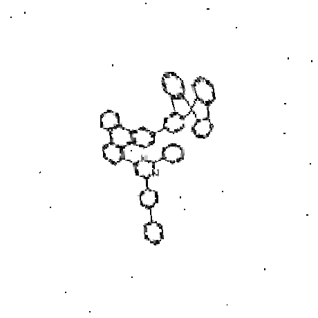 c1ccc(-c2ccc(-c3cc(-c4cccc5c6ccccc6c6cc(-c7ccc8c(c7)-c7ccccc7C87c8ccccc8-c8ccccc87)ccc6c45)nc(-c4ccccc4)n3)cc2)cc1